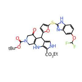 CCOC(=O)c1[nH]cc2c1NC1=C(C(=O)CN(C(=O)OC(C)(C)C)C1)C2c1ccc(Sc2nc3cc(OC(F)F)ccc3[nH]2)o1